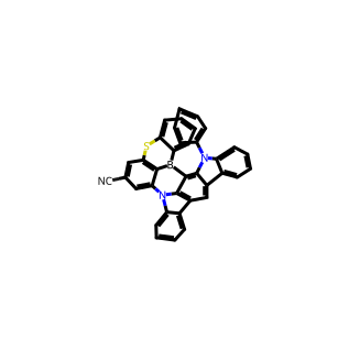 N#Cc1cc2c3c(c1)-n1c4ccccc4c4cc5c6ccccc6n(-c6ccccc6)c5c(c41)B3c1ccccc1S2